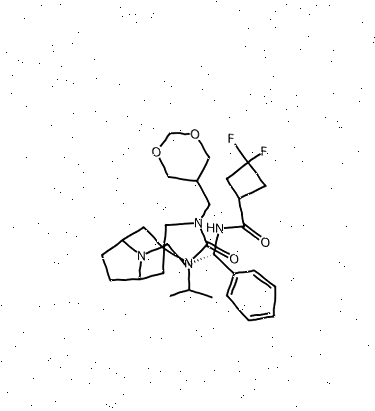 CC(C)N1C(=O)N(CC2COCOC2)CC12CC1CCC(C2)N1CC[C@H](NC(=O)C1CC(F)(F)C1)c1ccccc1